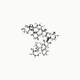 c1ccc(-c2ccccc2-c2ccccc2-c2ccc(N(c3ccccc3)c3ccc(-c4cccc(-c5oc6ccccc6c5-c5ccccc5)c4)cc3)cc2)cc1